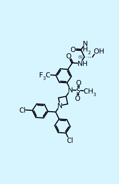 CS(=O)(=O)N(c1cc(C(=O)N[C@@H](CO)C(N)=O)cc(C(F)(F)F)c1)C1CN(C(c2ccc(Cl)cc2)c2ccc(Cl)cc2)C1